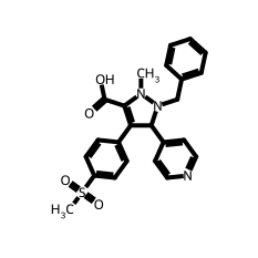 CN1C(C(=O)O)=C(c2ccc(S(C)(=O)=O)cc2)C(c2ccncc2)N1Cc1ccccc1